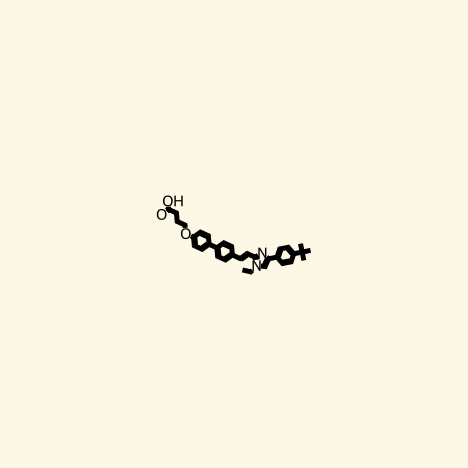 CCn1cc(-c2ccc(C(C)(C)C)cc2)nc1/C=C/c1ccc(-c2ccc(OCCCC(=O)O)cc2)cc1